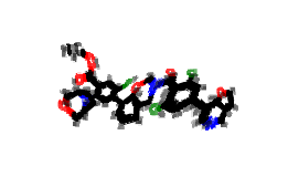 COC(=O)c1cc(F)c(-c2cccc3c2OCN(C(=O)c2c(Cl)cc(-c4cncc5ccoc45)cc2Cl)C3)cc1N1C2CCC1COC2